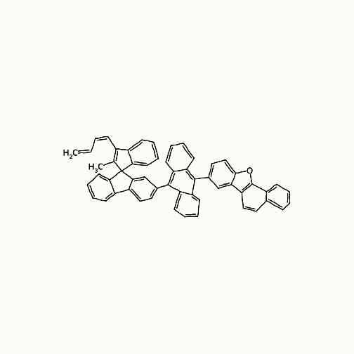 C=C/C=C\C1=C(C)C2(c3ccccc31)c1ccccc1-c1ccc(-c3c4ccccc4c(-c4ccc5oc6c7ccccc7ccc6c5c4)c4ccccc34)cc12